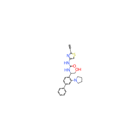 C#Cc1nc(NC(=O)NC(CO)c2ccc(-c3ccccc3)cc2N2CCCC2)cs1